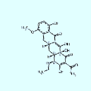 CCN[C@@H]1C(O)=C(C(N)=O)C(=O)[C@@]2(O)C(O)=C3C(=O)c4c(O)ccc(OC)c4C[C@H]3C[C@@H]12